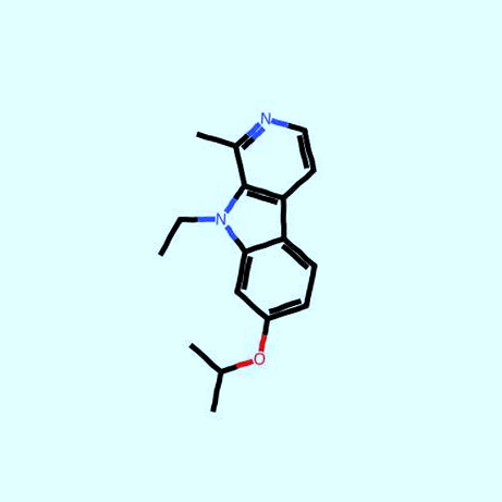 CCn1c2cc(OC(C)C)ccc2c2ccnc(C)c21